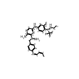 C/C=C\C=N/c1ccc(CN(N)c2nc(Nc3ccc(P(NCC)C(F)(F)F)c(F)c3)cnc2N)cc1